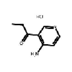 CCC(=O)c1cnccc1N.Cl